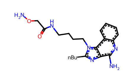 CCCCc1nc2c(N)nc3ccccc3c2n1CCCCNC(=O)CON